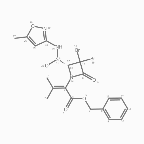 CC(C)=C(C(=O)OCc1ccccc1)N1C(=O)C(Br)(Br)[C@H]1[S+]([O-])Nc1cc(C)on1